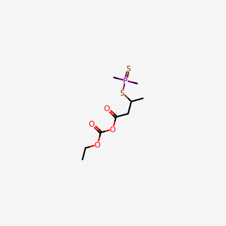 CCOC(=O)OC(=O)CC(C)SP(C)(C)=S